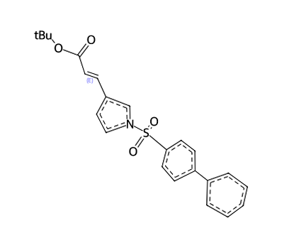 CC(C)(C)OC(=O)/C=C/c1ccn(S(=O)(=O)c2ccc(-c3ccccc3)cc2)c1